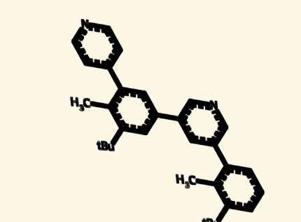 Cc1c(-c2cncc(-c3cc(-c4ccncc4)c(C)c(C(C)(C)C)c3)c2)cccc1C(C)(C)C